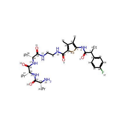 CCC(C(=O)Nc1sc(C(=O)NCCNC(=O)[C@H](NC(=O)[C@H](NC(=O)[C@H](N)C(C)C)C(C)C)C(C)C)c(C)c1C)c1ccc(F)cc1